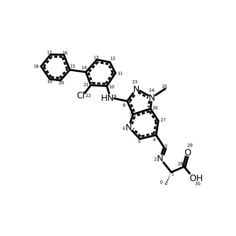 C[C@H](N=Cc1cnc2c(Nc3cccc(-c4ccccc4)c3Cl)nn(C)c2c1)C(=O)O